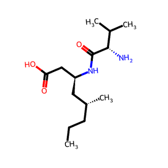 CCC[C@@H](C)C[C@@H](CC(=O)O)NC(=O)[C@@H](N)C(C)C